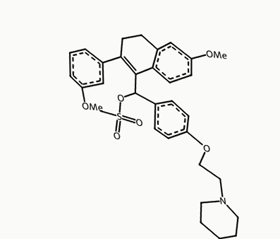 COc1cccc(C2=C(C(OS(C)(=O)=O)c3ccc(OCCN4CCCCC4)cc3)c3ccc(OC)cc3CC2)c1